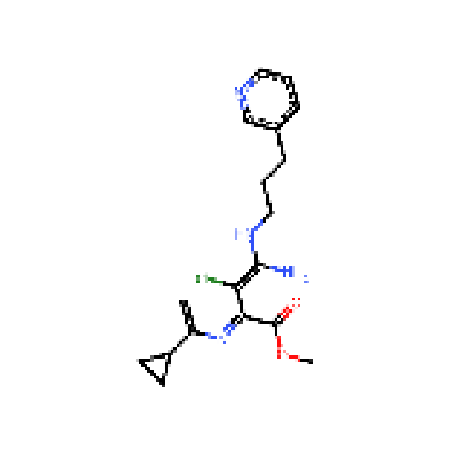 C=C(/N=C(C(=O)OC)\C(Cl)=C(/N)NCCCc1cccnc1)C1CC1